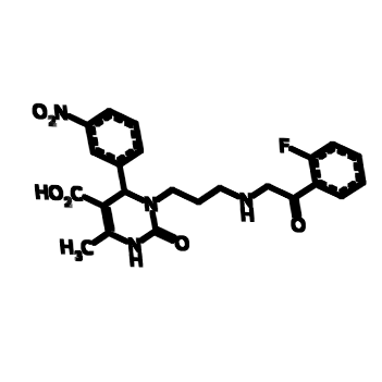 CC1=C(C(=O)O)C(c2cccc([N+](=O)[O-])c2)N(CCCNCC(=O)c2ccccc2F)C(=O)N1